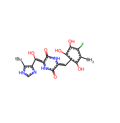 Bc1c(O)c(/C=c2\[nH]c(=O)/c(=C(\O)c3nc[nH]c3C(C)(C)C)[nH]c2=O)c(O)c(O)c1F